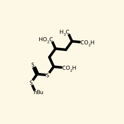 CCCCSC(=S)SC(CC(CC(C)C(=O)O)C(=O)O)C(=O)O